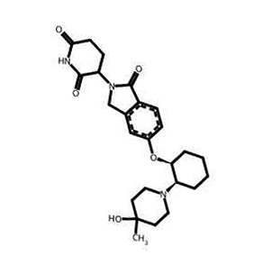 CC1(O)CCN([C@@H]2CCCC[C@@H]2Oc2ccc3c(c2)CN(C2CCC(=O)NC2=O)C3=O)CC1